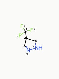 FC(F)(F)C1[C]=NN[CH]1